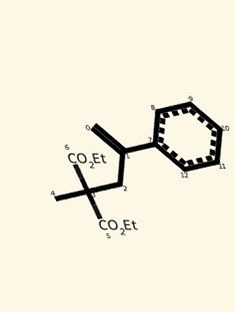 C=C(CC(C)(C(=O)OCC)C(=O)OCC)c1ccccc1